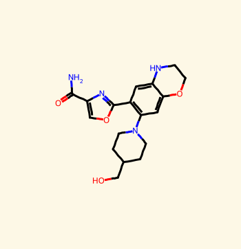 NC(=O)c1coc(-c2cc3c(cc2N2CCC(CO)CC2)OCCN3)n1